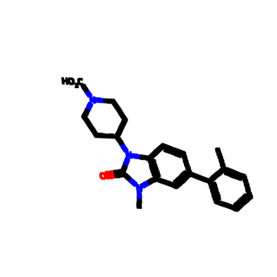 Cc1ccccc1-c1ccc2c(c1)n(C)c(=O)n2C1CCN(C(=O)O)CC1